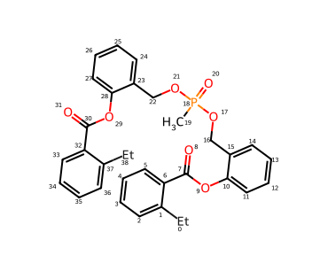 CCc1ccccc1C(=O)Oc1ccccc1COP(C)(=O)OCc1ccccc1OC(=O)c1ccccc1CC